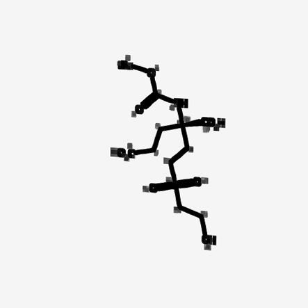 CC(C)(C)OC(=O)N[C@@](CCC(=O)O)(CCS(=O)(=O)CCO)C(=O)O